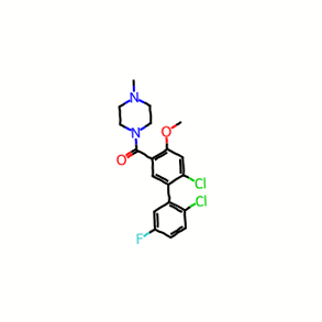 COc1cc(Cl)c(-c2cc(F)ccc2Cl)cc1C(=O)N1CCN(C)CC1